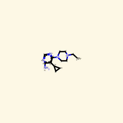 C[C](C)CN1CCN(c2ncnc(N)c2C2CC2)CC1